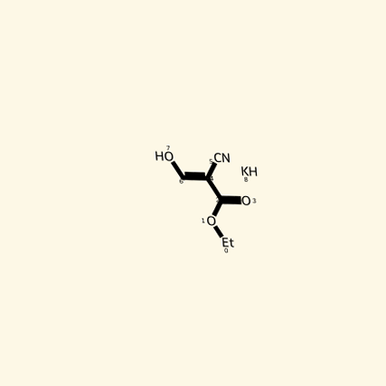 CCOC(=O)C(C#N)=CO.[KH]